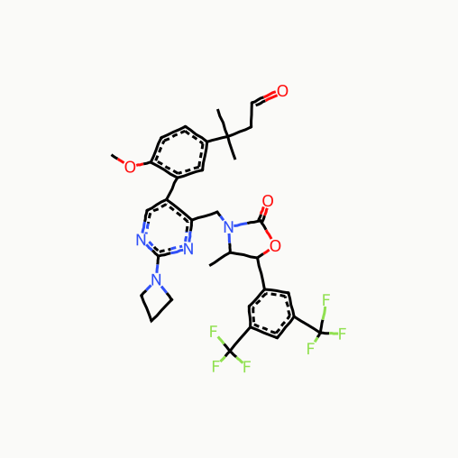 COc1ccc(C(C)(C)CC=O)cc1-c1cnc(N2CCC2)nc1CN1C(=O)OC(c2cc(C(F)(F)F)cc(C(F)(F)F)c2)C1C